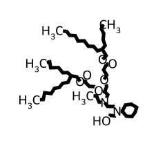 CCCCCCCCCC(CCCCC)COC(=O)CCOCC(CN(CCC)CCN(CCO)C1CCCCCC1)OCCC(=O)OCC(CCCCCC)CCCCCCCC